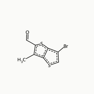 Cc1c(C=O)sc2c(Br)csc12